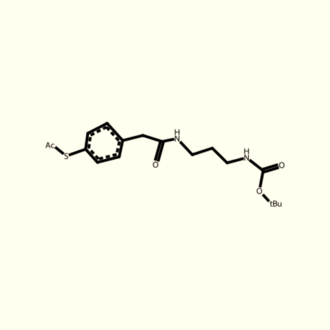 CC(=O)Sc1ccc(CC(=O)NCCCNC(=O)OC(C)(C)C)cc1